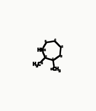 CC1CCCCNC1C